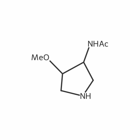 COC1CNCC1NC(C)=O